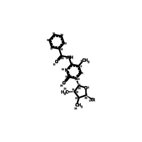 CC[C@H]1O[C@@H](n2cc(C)c(NC(=O)c3ccccc3)nc2=O)[C@@H](C)C1C